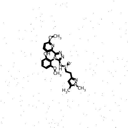 COC1=NC(c2nnc(N[S+]([O-])CCc3cc(C)n(C)n3)n2-c2c(O)cccc2OC)=C=C=C1